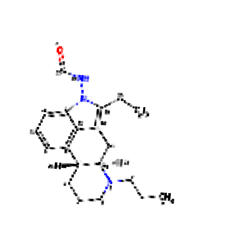 CCCN1CCC[C@@H]2c3cccc4c3c(c(CC)n4NC=O)C[C@H]21